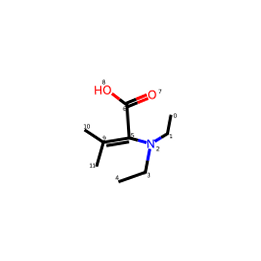 CCN(CC)C(C(=O)O)=C(C)C